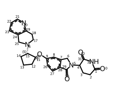 O=C1CCC(N2Cc3cc(O[C@@H]4CCC[C@@H]4N4CCc5ncccc5C4)ccc3C2=O)C(=O)N1